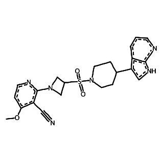 COc1ccnc(N2CC(S(=O)(=O)N3CCC(c4c[nH]c5ncccc45)CC3)C2)c1C#N